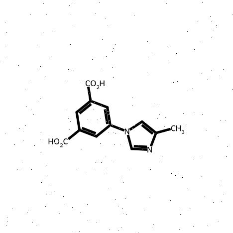 Cc1cn(-c2cc(C(=O)O)cc(C(=O)O)c2)cn1